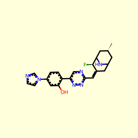 C[C@@H]1CC2C/C(=C/c3ncc(-c4ccc(-n5ccnc5)cc4O)nn3)[C@@H](F)C(C1)N2